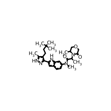 Cc1[nH]nc(-c2cc3ccc(N(C)C(=O)C(C)N4C(=O)COCC4C)cc3[nH]2)c1CCC(C)(C)C